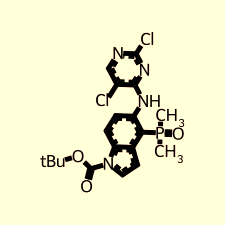 CC(C)(C)OC(=O)n1ccc2c(P(C)(C)=O)c(Nc3nc(Cl)ncc3Cl)ccc21